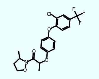 CC(Oc1ccc(Oc2ccc(C(F)(F)F)cc2Cl)cc1)C(=O)N1OCCC1C